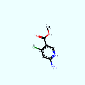 COC(=O)c1cnc(N)cc1Cl